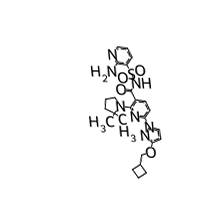 CC1(C)CCCN1c1nc(-n2ccc(OCC3CCC3)n2)ccc1C(=O)NS(=O)(=O)c1cccnc1N